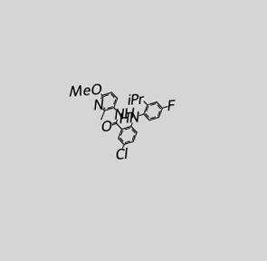 COc1ccc(NC(=O)c2cc(Cl)ccc2Nc2ccc(F)cc2C(C)C)c(C)n1